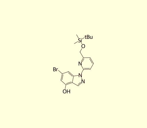 CC(C)(C)[Si](C)(C)OCc1cccc(-n2ncc3c(O)cc(Br)cc32)n1